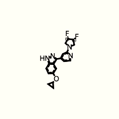 F[C@H]1CN(c2cc(-c3n[nH]c4ccc(OC5CC5)cc34)ccn2)C[C@@H]1F